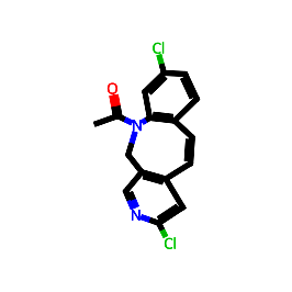 CC(=O)N1Cc2cnc(Cl)cc2/C=C\c2ccc(Cl)cc21